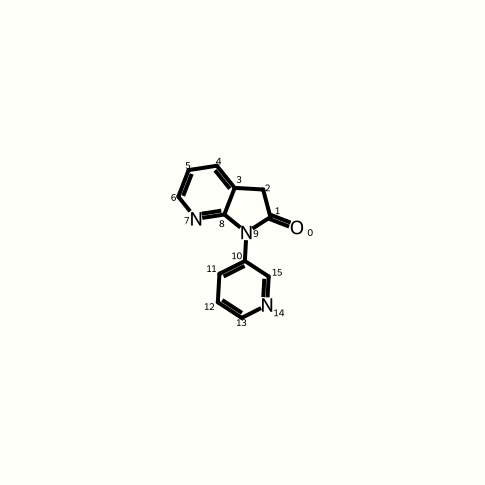 O=C1Cc2cccnc2N1c1cccnc1